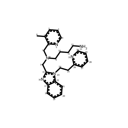 Cc1cccnc1CN(CCCCN)Cc1nc2ccccc2n1CCc1ccccn1